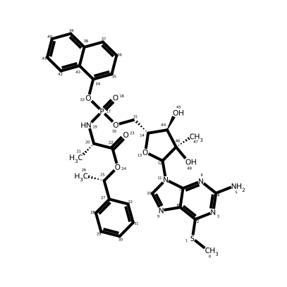 CSc1nc(N)nc2c1ncn2C1O[C@H](COP(=O)(N[C@@H](C)C(=O)O[C@@H](C)c2ccccc2)Oc2cccc3ccccc23)[C@@H](O)[C@@]1(C)O